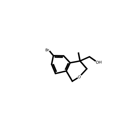 CC1(CO)COCc2ccc(Br)cc21